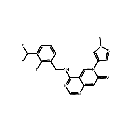 Cn1cc(-n2cc3c(NCc4cccc(C(F)F)c4F)ncnc3cc2=O)cn1